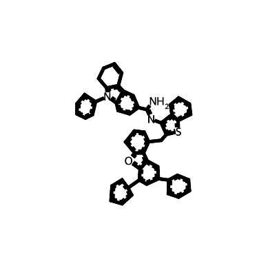 N/C(=N\c1c(Cc2cccc3oc4c(-c5ccccc5)cc(-c5ccccc5)cc4c23)sc2ccccc12)c1ccc2c(c1)c1c(n2-c2ccccc2)CCC=C1